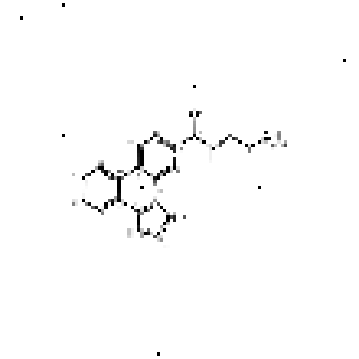 NCCNC(=O)c1ccc(-c2ccccc2-c2nnn[nH]2)cc1